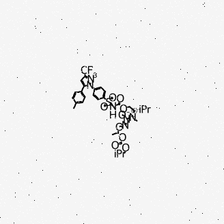 Cc1ccc(-c2cc(C(F)(F)F)nn2-c2ccc(S(=O)(=O)NC(=O)OC[C@H](C(C)C)N(C)[N+]([O-])=NOC(C)OC(=O)OC(C)C)cc2)cc1